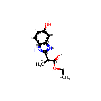 CCOC(=O)C(C)c1nc2cc(O)ccc2[nH]1